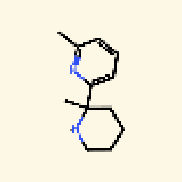 Cc1cccc(C2(C)CCCC[N]2)n1